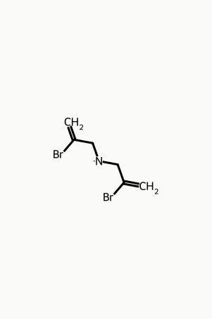 C=C(Br)C[N]CC(=C)Br